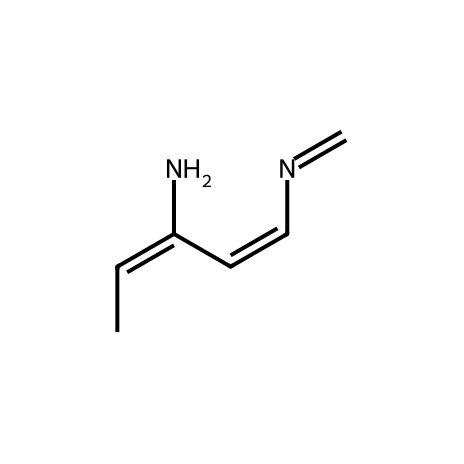 C=N/C=C\C(N)=C/C